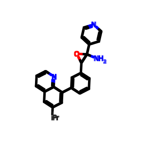 CC(C)c1cc(-c2cccc(C3OC3(N)c3ccncc3)c2)c2ncccc2c1